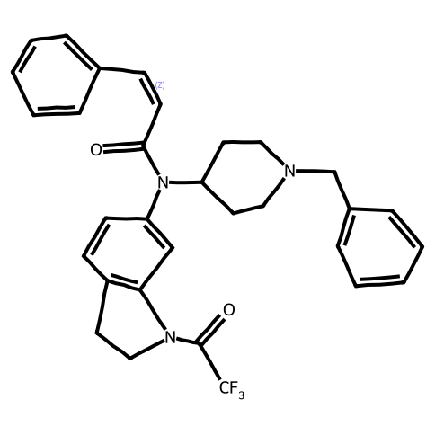 O=C(/C=C\c1ccccc1)N(c1ccc2c(c1)N(C(=O)C(F)(F)F)CC2)C1CCN(Cc2ccccc2)CC1